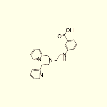 O=C(O)c1cccc(NCCN(CCc2ccccn2)Cc2ccccn2)c1